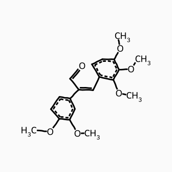 COc1ccc(C(C=O)=Cc2ccc(OC)c(OC)c2OC)cc1OC